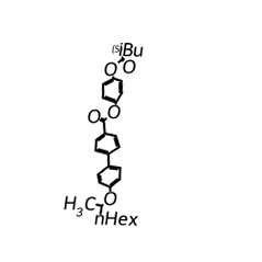 CCCCCCC(C)Oc1ccc(-c2ccc(C(=O)Oc3ccc(OC(=O)[C@@H](C)CC)cc3)cc2)cc1